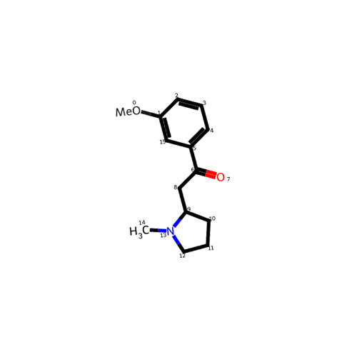 COc1cccc(C(=O)CC2CCCN2C)c1